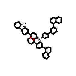 c1ccc(-c2ccc(-c3cccc4ccccc34)cc2N(c2ccc(-c3cccc(-c4cccc5ccccc45)c3)cc2)c2ccc(-c3ccc4c(c3)oc3ccccc34)cc2)cc1